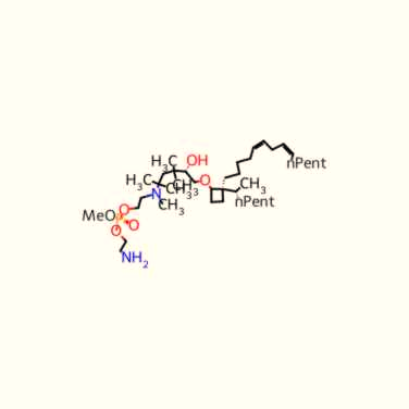 CCCCC/C=C\C/C=C\CCCC[C@]1([C@H](C)CCCCC)CCC1OC[C@@H](O)C(C)(C)CC(C)(C)N(C)CCOP(=O)(OC)OCCN